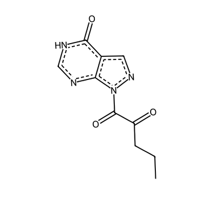 CCCC(=O)C(=O)n1ncc2c(=O)[nH]cnc21